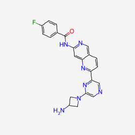 NC1CN(c2cncc(-c3ccc4cnc(NC(=O)c5ccc(F)cc5)cc4n3)n2)C1